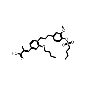 CCCCOc1cc(/C=C(\C)C(=O)O)ccc1CCCc1ccc(OS(=O)(=O)CCCC)c(OC)c1